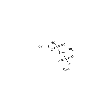 O=S(=O)([O-])O.O=S(=O)([O-])[O-].[Cu+2].[NH4+].[S]=[Cu]